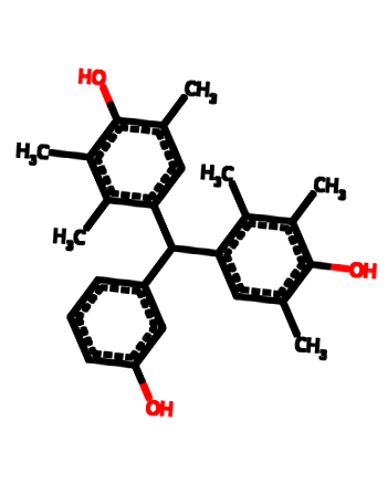 Cc1cc(C(c2cccc(O)c2)c2cc(C)c(O)c(C)c2C)c(C)c(C)c1O